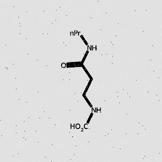 CCCNC(=O)CCNC(=O)O